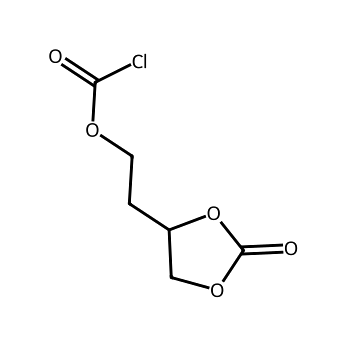 O=C(Cl)OCCC1COC(=O)O1